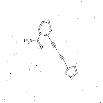 NC(=O)c1ccccc1C#CC#Cc1ccsc1